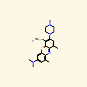 Cc1cc(N(C)C)cc2[s+]c3c(C(=O)O)c(N4CCN(C)CC4)cc(C)c3nc12.[I-]